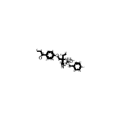 CCC(=O)c1ccc(OCC(C#N)(CC)NS(=O)(=O)Cc2ccccc2)cc1